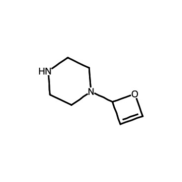 C1=CC(N2CCNCC2)O1